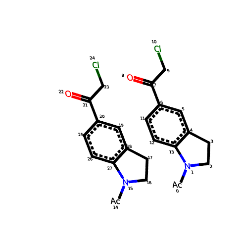 CC(=O)N1CCc2cc(C(=O)CCl)ccc21.CC(=O)N1CCc2cc(C(=O)CCl)ccc21